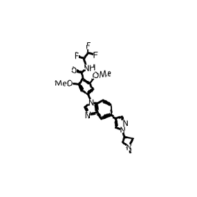 COc1cc(-n2cnc3cc(-c4cnn(C5CN(C)C5)c4)ccc32)cc(OC)c1C(=O)NC(F)C(F)F